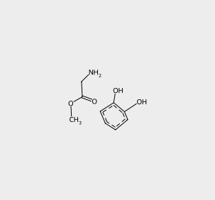 COC(=O)CN.Oc1ccccc1O